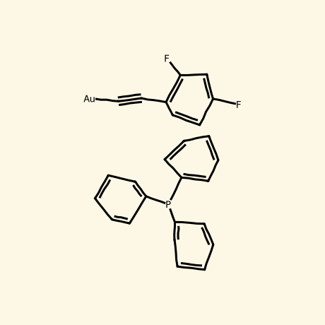 Fc1ccc(C#[C][Au])c(F)c1.c1ccc(P(c2ccccc2)c2ccccc2)cc1